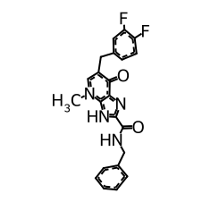 Cn1cc(Cc2ccc(F)c(F)c2)c(=O)c2nc(C(=O)NCc3ccccc3)[nH]c21